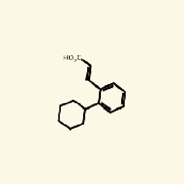 O=C(O)C=Cc1ccccc1C1CCCCC1